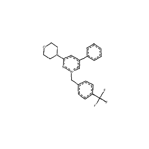 FC(F)(F)c1ccc(C[n+]2cc(-c3ccccc3)cc(N3CCOCC3)n2)cc1